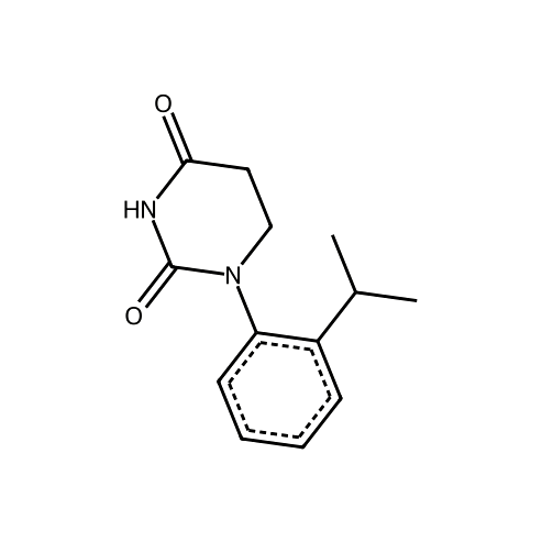 CC(C)c1ccccc1N1CCC(=O)NC1=O